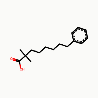 CC(C)(CCCCCCc1ccccc1)C(=O)O